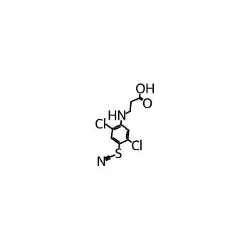 N#CSc1cc(Cl)c(NCCC(=O)O)cc1Cl